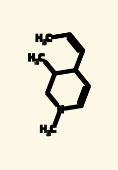 C/C=C\C1C=CN(C)CC1C